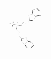 C[N+](CCSc1nc2ccccc2[nH]1)(CCSc1nc2ccccc2[nH]1)S(=O)(=O)O